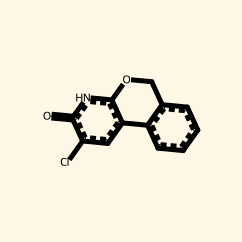 O=c1[nH]c2c(cc1Cl)-c1ccccc1CO2